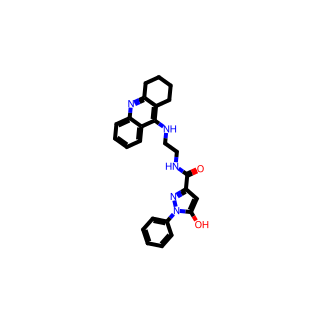 O=C(NCCNc1c2c(nc3ccccc13)CCCC2)c1cc(O)n(-c2ccccc2)n1